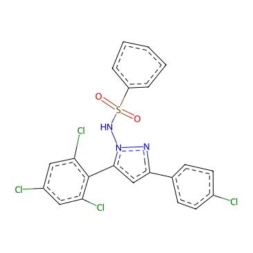 O=S(=O)(Nn1nc(-c2ccc(Cl)cc2)cc1-c1c(Cl)cc(Cl)cc1Cl)c1ccccc1